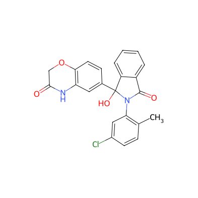 Cc1ccc(Cl)cc1N1C(=O)c2ccccc2C1(O)c1ccc2c(c1)NC(=O)CO2